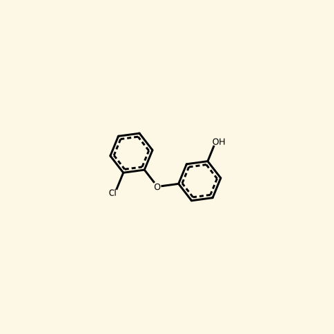 Oc1cccc(Oc2ccccc2Cl)c1